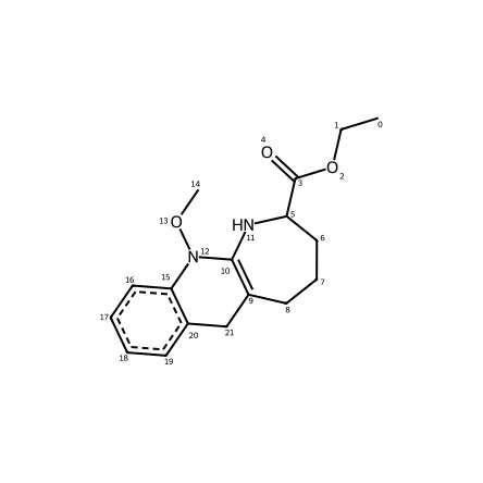 CCOC(=O)C1CCCC2=C(N1)N(OC)c1ccccc1C2